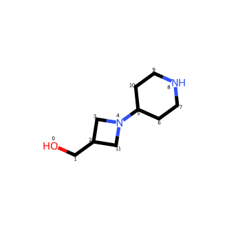 OCC1CN(C2CCNCC2)C1